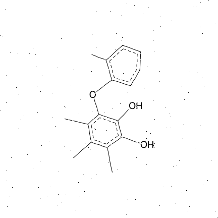 Cc1ccccc1Oc1c(C)c(C)c(C)c(O)c1O